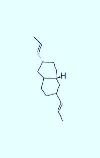 CC=CC1CCC2C[C@H](C=CC)CC[C@@H]2C1